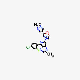 Cc1cnc2c(-c3ccc(Cl)cc3F)nc(N3CCO[C@@H](c4cnn(C)c4)C3)cc2n1